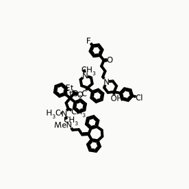 CCC(=O)C(CC(C)N(C)C)(c1ccccc1)c1ccccc1.CCOC(=O)C1(c2ccccc2)CCN(C)CC1.CNCCC=C1c2ccccc2CCc2ccccc21.O=C(CCCN1CCC(O)(c2ccc(Cl)cc2)CC1)c1ccc(F)cc1